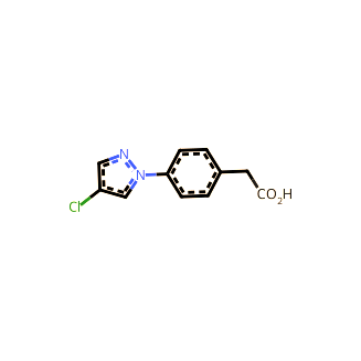 O=C(O)Cc1ccc(-n2cc(Cl)cn2)cc1